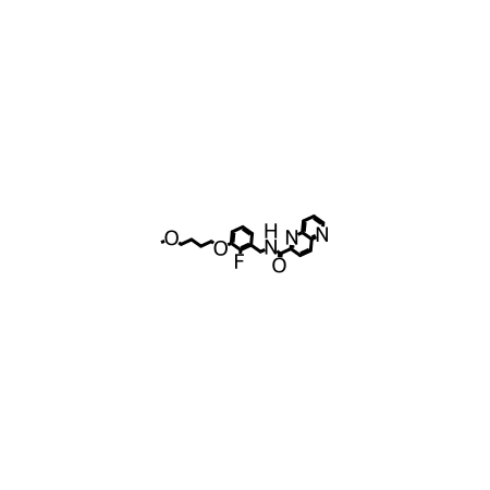 COCCCCOc1cccc(CNC(=O)c2ccc3ncccc3n2)c1F